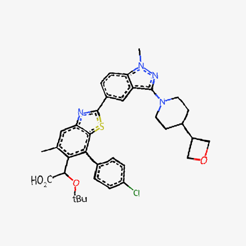 Cc1cc2nc(-c3ccc4c(c3)c(N3CCC(C5COC5)CC3)nn4C)sc2c(-c2ccc(Cl)cc2)c1C(OC(C)(C)C)C(=O)O